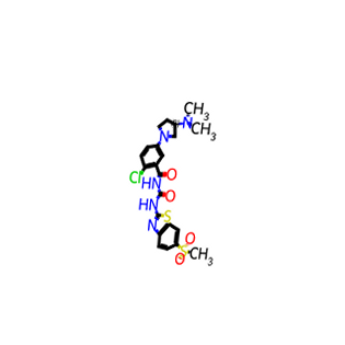 CN(C)[C@@H]1CCN(c2ccc(Cl)c(C(=O)NC(=O)Nc3nc4ccc(S(C)(=O)=O)cc4s3)c2)C1